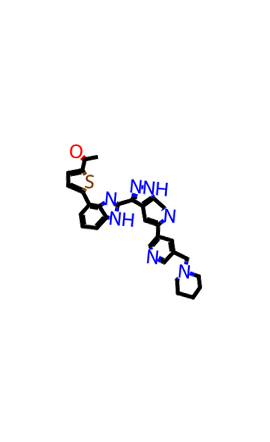 CC(=O)c1ccc(-c2cccc3[nH]c(-c4n[nH]c5cnc(-c6cncc(CN7CCCCC7)c6)cc45)nc23)s1